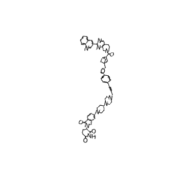 O=C1CCC(N2Cc3cc(N4CCC(N5CCN(CC#Cc6ccc(OCC78CC(C7)C(C(=O)N7CCc9cnc(-c%10cnc%11ccccc%11c%10)nc9C7)C8)cc6)CC5)CC4)ccc3C2=O)C(=O)N1